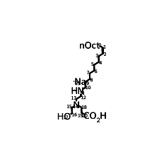 CCCCCCCC/C=C\CCCCCCCCNCCN(CCO)CCC(=O)O.[Na]